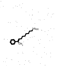 CCCCCCCCCCCCCCCCC=C(C)c1ccccc1